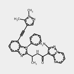 Cc1c(C#Cc2cccc3nc(C(C)NC(=O)c4c(N)nn5cccnc45)n(-c4ccccc4)c23)cnn1C